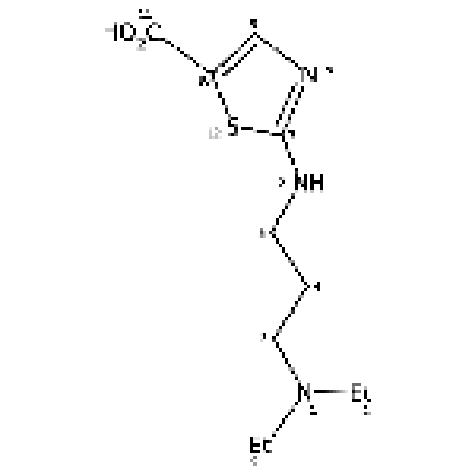 CCN(CC)CCCNc1ncc(C(=O)O)s1